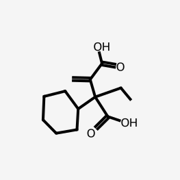 C=C(C(=O)O)C(CC)(C(=O)O)C1CCCCC1